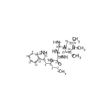 CCCC(Cc1c[nH]c2ccccc12)NC(=O)C(=N)NC(=N)N1C[C@@H](C)N(C)[C@@H](C)C1